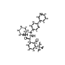 O=C(N[C@@H](c1ccc(-c2cccnc2)cc1)[C@@H]1CCCCN1)c1cccc(C(F)(F)F)c1Cl